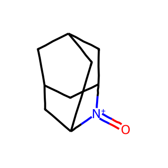 O=[N+]1C2CC3CC(C2)CC1C3